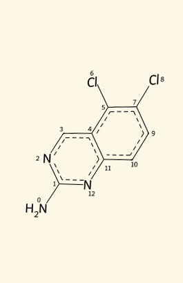 Nc1ncc2c(Cl)c(Cl)ccc2n1